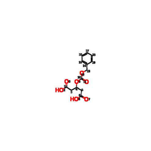 O=C(O)CC(CC(=O)O)OC(=O)OCc1ccccc1